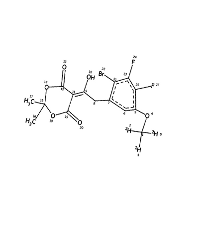 [2H]C([2H])([2H])Oc1cc(CC(O)=C2C(=O)OC(C)(C)OC2=O)c(Br)c(F)c1F